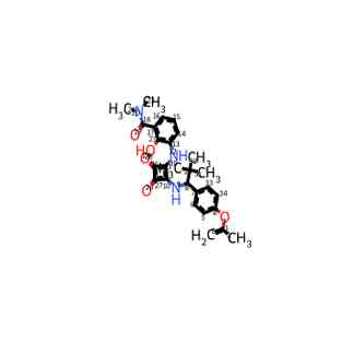 C=C(C)Oc1ccc(C(Nc2c(Nc3cccc(C(=O)N(C)C)c3O)c(=O)c2=O)C(C)(C)C)cc1